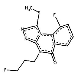 CSc1nnc2n(CCCF)c(=O)c3cccc(F)c3n12